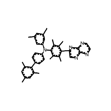 Cc1cc(C)cc(N(c2ccc(-c3c(C)cc(C)cc3C)cc2)c2c(C)c(C)c(-c3cnc4nccnc4n3)c(C)c2C)c1